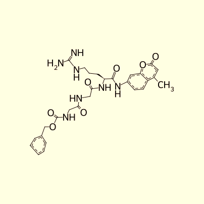 Cc1cc(=O)oc2cc(NC(=O)[C@H](CCCNC(=N)N)NC(=O)CNC(=O)CNC(=O)OCc3ccccc3)ccc12